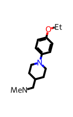 CCOc1ccc(N2CCC(CNC)CC2)cc1